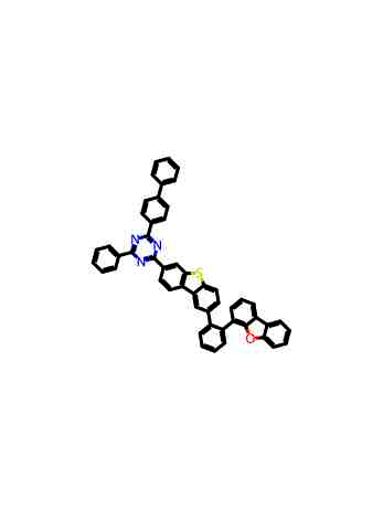 c1ccc(-c2ccc(-c3nc(-c4ccccc4)nc(-c4ccc5c(c4)sc4ccc(-c6ccccc6-c6cccc7c6oc6ccccc67)cc45)n3)cc2)cc1